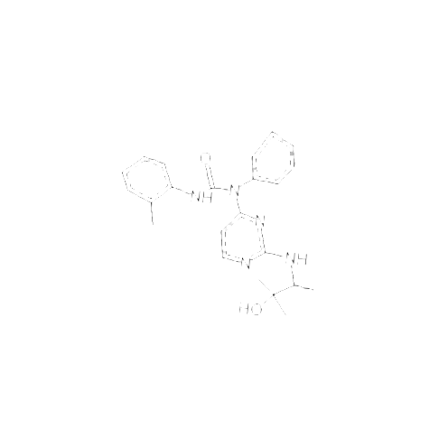 Cc1ccccc1NC(=O)N(c1ccccc1)c1ccnc(NC(C)C(C)(C)O)n1